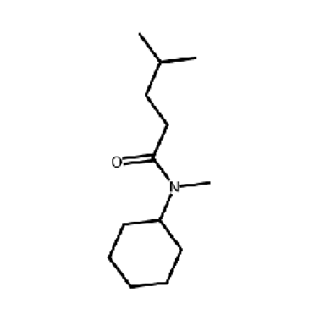 CC(C)CCC(=O)N(C)C1CCCCC1